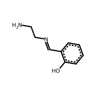 NCC/N=C/c1ccccc1O